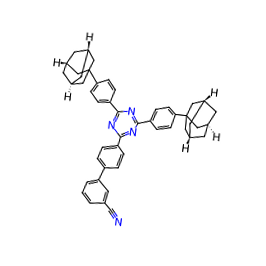 N#Cc1cccc(-c2ccc(-c3nc(-c4ccc(C56C[C@H]7C[C@@H](C5)C[C@@H](C6)C7)cc4)nc(-c4ccc(C56C[C@H]7C[C@H](C5)C[C@@H](C6)C7)cc4)n3)cc2)c1